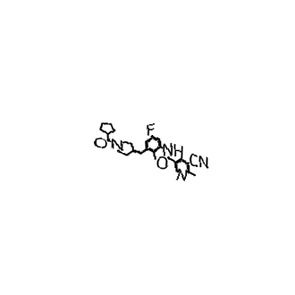 Cc1ncc(C(=O)Nc2cc(F)cc(C=C3CCN(C(=O)C4CCCC4)CC3)c2C)cc1C#N